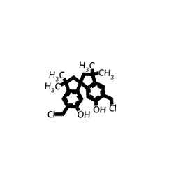 CC1(C)CC2(CC(C)(C)c3cc(CCl)c(O)cc32)c2cc(O)c(CCl)cc21